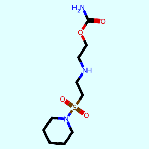 NC(=O)OCCNCCS(=O)(=O)N1CCCCC1